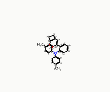 Cc1ccc(N(c2ccc(C)cc2)c2ccccc2-c2ccc3c(c2)CC3)cc1